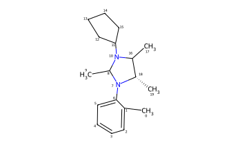 Cc1ccccc1N1C(C)N(C2CCCC2)C(C)[C@@H]1C